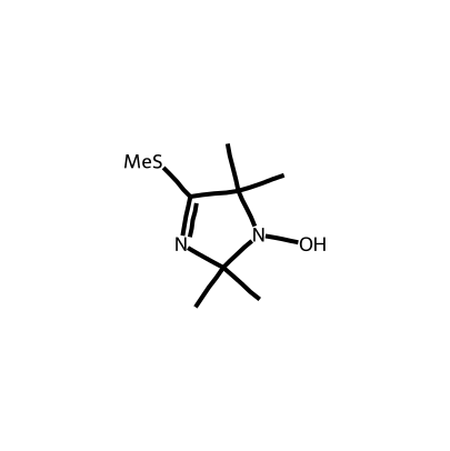 CSC1=NC(C)(C)N(O)C1(C)C